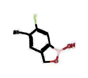 CCc1cc2c(cc1F)B(O)OC2